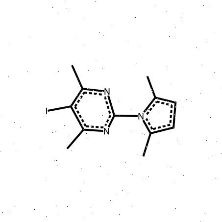 Cc1nc(-n2c(C)ccc2C)nc(C)c1I